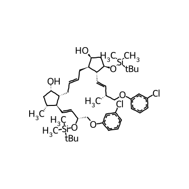 C[C@H](/C=C/[C@@H]1[C@@H](C/C=C/C[C@@H]2[C@@H](/C=C/[C@H](COc3cccc(Cl)c3)O[Si](C)(C)C(C)(C)C)[C@H](C)C[C@@H]2O)[C@@H](O)C[C@H]1O[Si](C)(C)C(C)(C)C)COc1cccc(Cl)c1